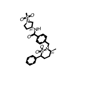 C[C@H]1CCC(c2ccccc2)S(=O)(=O)N1Cc1ccc(C(=O)N[C@@H]2CCN(S(C)(=O)=O)C2)cc1